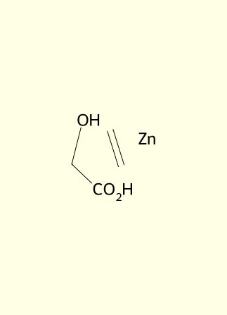 C=C.O=C(O)CO.[Zn]